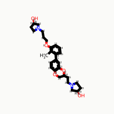 Cc1c(OCCCN2CC[C@@H](O)C2)cccc1-c1ccc2c(c1)OC(CCN1CC[C@@H](O)C1)CO2